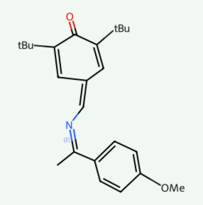 COc1ccc(/C(C)=N\C=C2C=C(C(C)(C)C)C(=O)C(C(C)(C)C)=C2)cc1